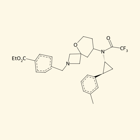 CCOC(=O)c1ccc(CN2CC3(CC(N(C(=O)C(F)(F)F)[C@@H]4C[C@H]4c4cccc(C)c4)CCO3)C2)cc1